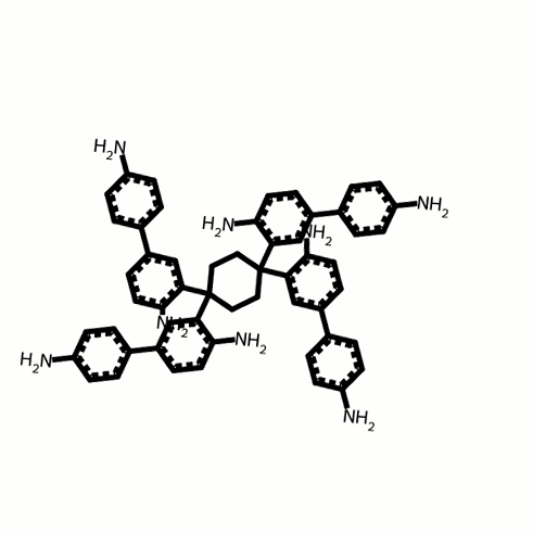 Nc1ccc(-c2ccc(N)c(C3(c4cc(-c5ccc(N)cc5)ccc4N)CCC(c4cc(-c5ccc(N)cc5)ccc4N)(c4cc(-c5ccc(N)cc5)ccc4N)CC3)c2)cc1